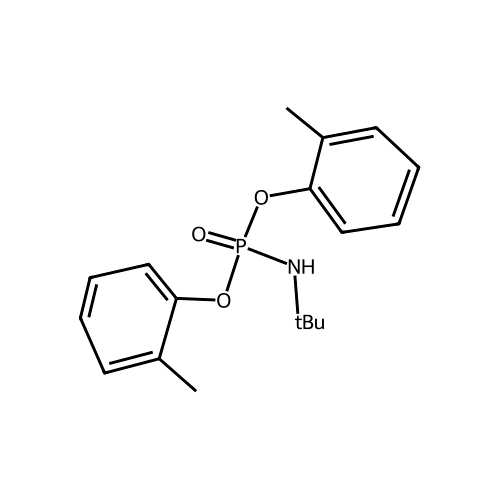 Cc1ccccc1OP(=O)(NC(C)(C)C)Oc1ccccc1C